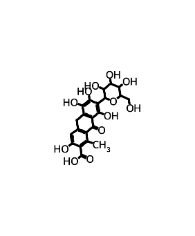 Cc1c(C(=O)O)c(O)cc2c1C(=O)c1c(O)c(C3OC(CO)C(O)C(O)C3O)c(O)c(O)c1C2